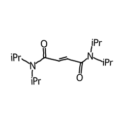 CC(C)N(C(=O)C=CC(=O)N(C(C)C)C(C)C)C(C)C